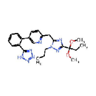 CCCn1nc(C(CC)(OC)OC)nc1Cc1ccc(-c2ccccc2-c2nnn[nH]2)cn1